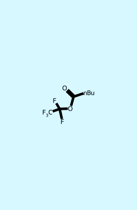 CCCCC(=O)OC(F)(F)C(F)(F)F